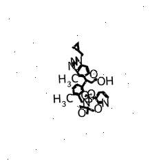 Cc1ccc(C(CC(=O)O)c2ccc3c(nnn3CC3CC3)c2C)cc1CN1C2(COC2)COc2ncccc2S1(=O)=O